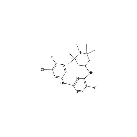 CN1C(C)(C)CC(Nc2nc(Nc3ccc(F)c(Cl)c3)ncc2F)CC1(C)C